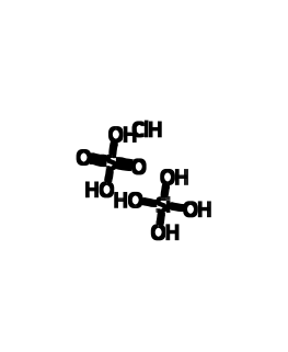 Cl.O=S(=O)(O)O.O[Si](O)(O)O